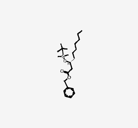 CCCCCCC[C@H](CC(=O)OCc1ccccc1)O[Si](C)(C)C(C)(C)C